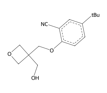 CC(C)(C)c1ccc(OCC2(CO)COC2)c(C#N)c1